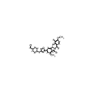 COc1ccc(C(F)N2Cc3cc(-c4nc(CN5CCN(C=O)CC5)no4)cc(C)c3C2=O)c(F)c1F